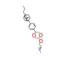 C/C=C/COC1COC(c2ccc(C34CCC(CCC)(CC3)CC4)cc2)CO1